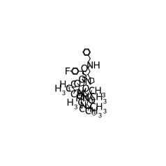 CCC(C)C(C(CC(=O)N1CCCC1C(CC(=O)NCCc1ccccc1)SCc1ccc(F)cc1)OC)N(C)C(=O)C(NC(=O)C(C(C)C)N(C)C)C(C)C